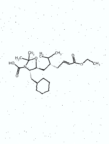 CCOC(=O)/C=C/C[C@H](C[C@@H]1OC(C)(C)N(C(=O)O)[C@H]1CC1CCCCC1)C(C)C